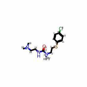 CC(C)N(CCSc1ccc(Cl)cc1)C(=O)NCCN(C)C